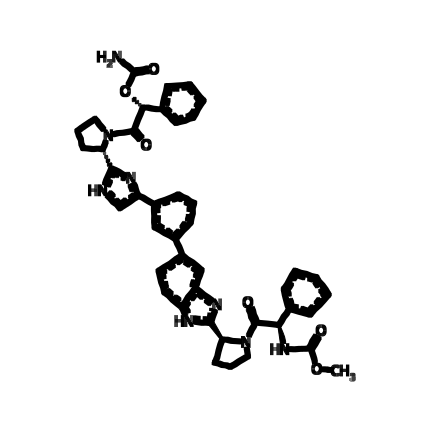 COC(=O)N[C@@H](C(=O)N1CCC[C@H]1c1nc2cc(-c3cccc(-c4c[nH]c([C@@H]5CCCN5C(=O)[C@H](OC(N)=O)c5ccccc5)n4)c3)ccc2[nH]1)c1ccccc1